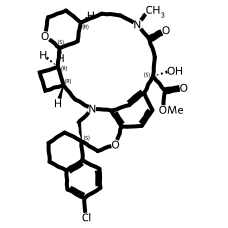 COC(=O)[C@]1(O)CC(=O)N(C)CC[C@@H]2CCO[C@@H](C2)[C@@H]2CC[C@H]2CN2C[C@@]3(CCCc4cc(Cl)ccc43)COc3ccc1cc32